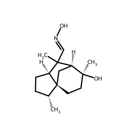 C[C@@H]1CC[C@H]2C(C)(C=NO)[C@@H]3C[C@]12CC[C@]3(C)O